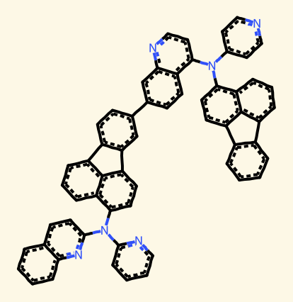 c1ccc(N(c2ccc3ccccc3n2)c2ccc3c4c(cccc24)-c2ccc(-c4ccc5c(N(c6ccncc6)c6ccc7c8c(cccc68)-c6ccccc6-7)ccnc5c4)cc2-3)nc1